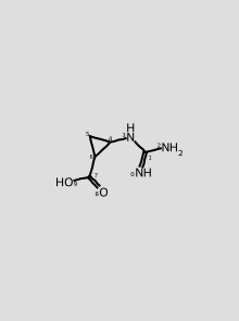 N=C(N)NC1CC1C(=O)O